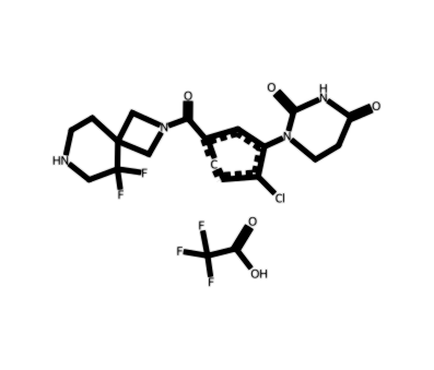 O=C(O)C(F)(F)F.O=C1CCN(c2cc(C(=O)N3CC4(CCNCC4(F)F)C3)ccc2Cl)C(=O)N1